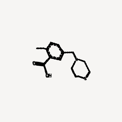 Cc1ccc(CN2CCSCC2)cc1C(=O)O